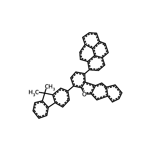 CC1(C)c2ccccc2-c2ccc(-c3ccc(-c4ccc5ccc6cccc7ccc4c5c67)c4c3oc3cc5ccccc5cc34)cc21